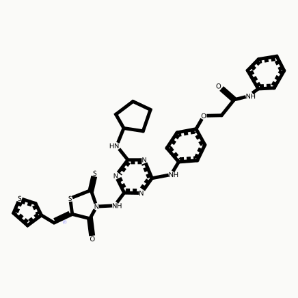 O=C(COc1ccc(Nc2nc(NC3CCCC3)nc(NN3C(=O)/C(=C/c4ccsc4)SC3=S)n2)cc1)Nc1ccccc1